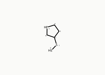 SSC1CCPC1